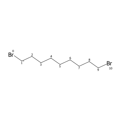 Br[CH]CCCCCCCCBr